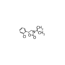 C=C(C)N1C[C@H](c2ccccc2Cl)OC1=O